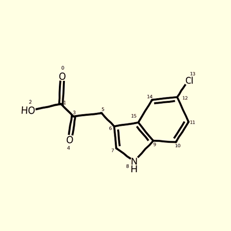 O=C(O)C(=O)Cc1c[nH]c2ccc(Cl)cc12